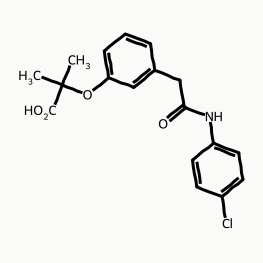 CC(C)(Oc1cccc(CC(=O)Nc2ccc(Cl)cc2)c1)C(=O)O